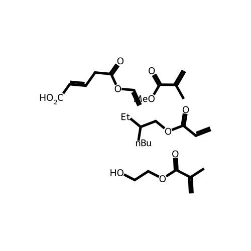 C=C(C)C(=O)OC.C=C(C)C(=O)OCCO.C=CC(=O)OCC(CC)CCCC.C=COC(=O)CC=CC(=O)O